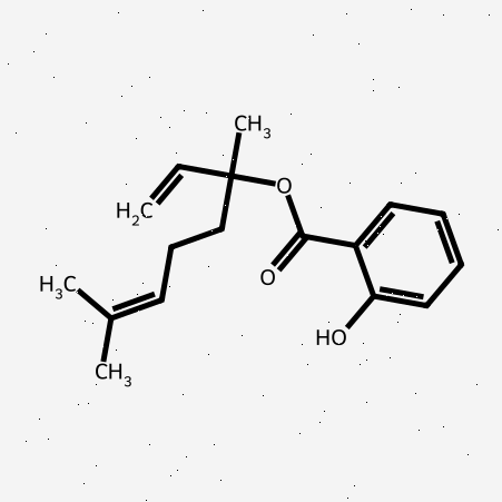 C=CC(C)(CCC=C(C)C)OC(=O)c1ccccc1O